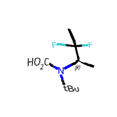 C[C@@H](N(C(=O)O)C(C)(C)C)C(C)(F)F